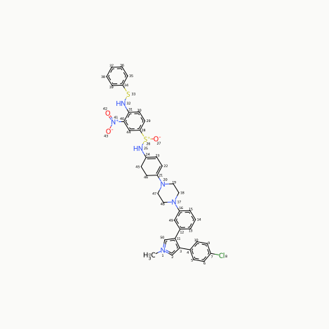 Cn1cc(-c2ccc(Cl)cc2)c(-c2cccc(N3CCN(C4=CC=C(N[S+]([O-])c5ccc(NSc6ccccc6)c([N+](=O)[O-])c5)CC4)CC3)c2)c1